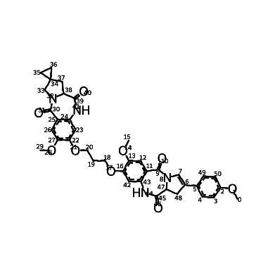 COc1ccc(C2=CN3C(=O)c4cc(OC)c(OCCCOc5cc6c(cc5OC)C(=O)N5CC7(CC7)CC5C(=O)N6)cc4NC(=O)C3C2)cc1